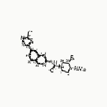 CN[C@@H]1CCN(C(=O)Nc2cc3cc(-c4nnc(C)s4)ccc3cn2)C[C@H]1F